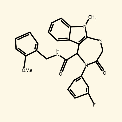 COc1ccccc1CNC(=O)C1c2c(n(C)c3ccccc23)SCC(=O)N1c1cccc(F)c1